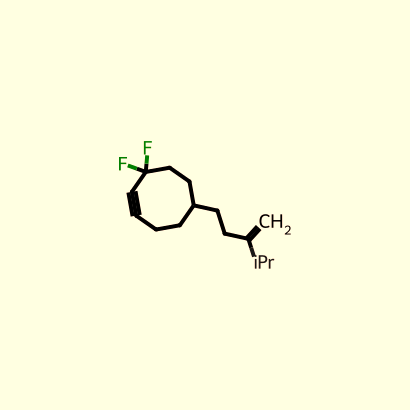 C=C(CCC1CCC#CC(F)(F)CC1)C(C)C